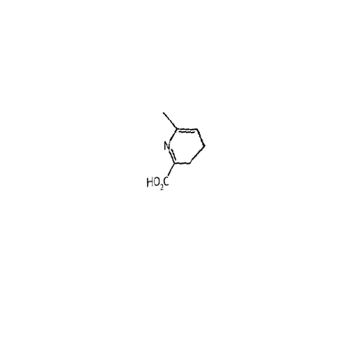 CC1=CCCC(C(=O)O)=N1